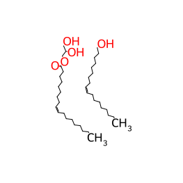 CCCCCCCC/C=C\CCCCCCCC(=O)OCC(O)CO.CCCCCCCC/C=C\CCCCCCCCO